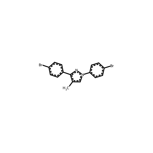 Cc1cn(-c2ccc(Br)cc2)nc1-c1ccc(Br)cc1